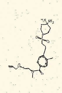 C=CCOCCN(C)C(=O)c1ccc(CCS(=O)(=O)N2CCC(N)(N)CC2)c(C)c1